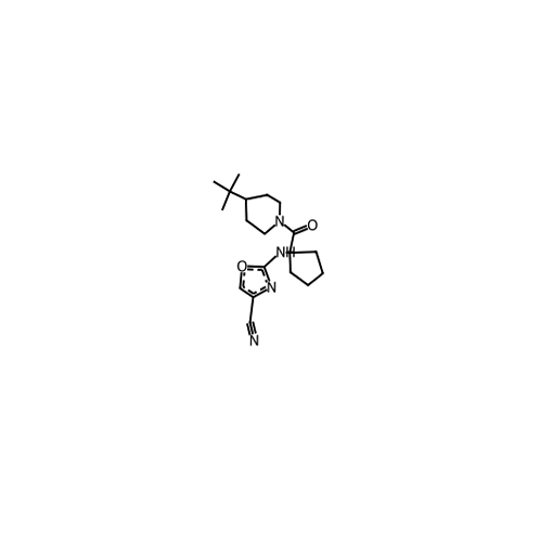 CC(C)(C)C1CCN(C(=O)C2(Nc3nc(C#N)co3)CCCC2)CC1